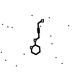 ClCC#CCOC1CCCCO1